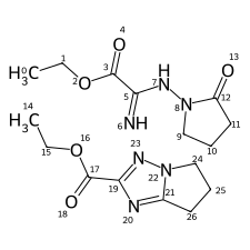 CCOC(=O)C(=N)NN1CCCC1=O.CCOC(=O)c1nc2n(n1)CCC2